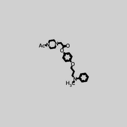 CC(=O)N1CCN(CC(=O)Oc2ccc(OCCCN(C)c3ccccc3)cc2)CC1